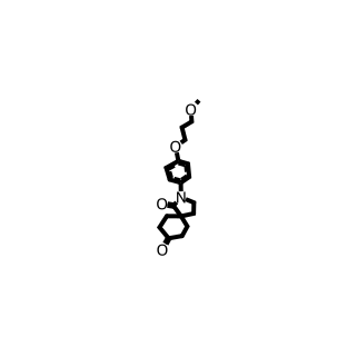 COCCCOc1ccc(N2CCC3(CCC(=O)CC3)C2=O)cc1